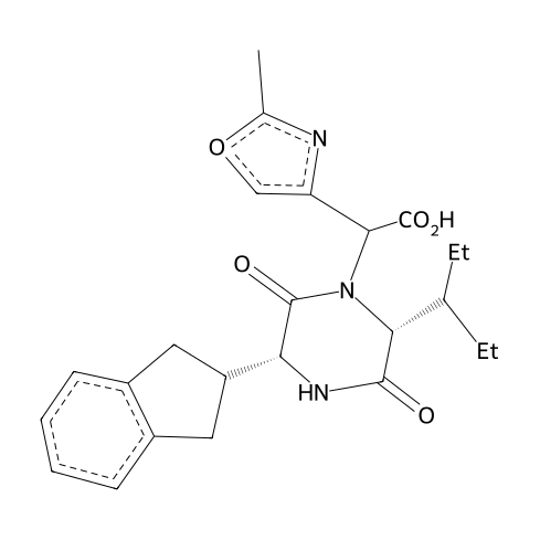 CCC(CC)[C@@H]1C(=O)N[C@H](C2Cc3ccccc3C2)C(=O)N1C(C(=O)O)c1coc(C)n1